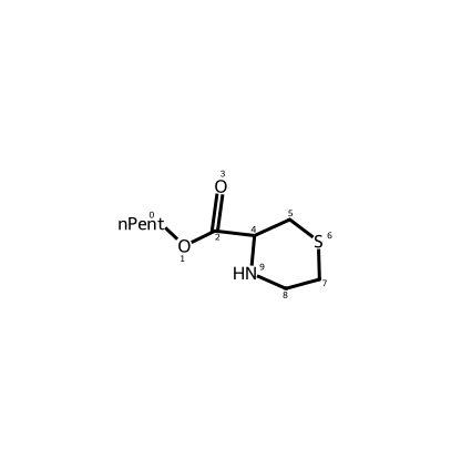 CCCCCOC(=O)C1CSCCN1